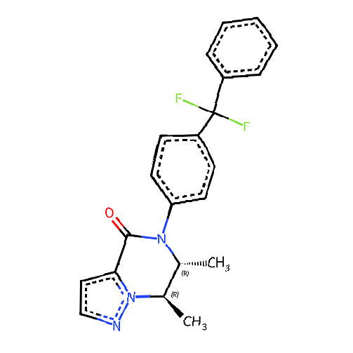 C[C@@H]1[C@@H](C)n2nccc2C(=O)N1c1ccc(C(F)(F)c2ccccc2)cc1